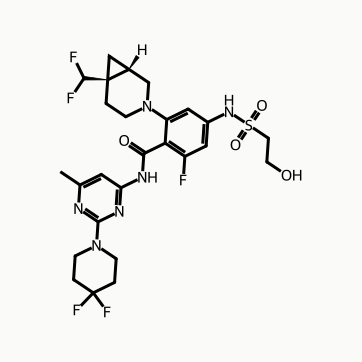 Cc1cc(NC(=O)c2c(F)cc(NS(=O)(=O)CCO)cc2N2CC[C@]3(C(F)F)C[C@@H]3C2)nc(N2CCC(F)(F)CC2)n1